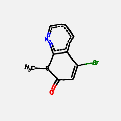 CB1C(=O)C=C(Br)c2cccnc21